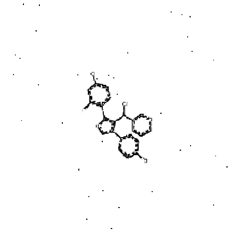 OC(c1cccnc1)c1c(-c2ccc(Cl)cc2)coc1-c1ccc(Cl)cc1F